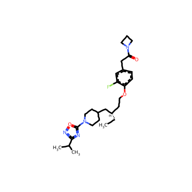 CC[C@@H](CCOc1ccc(CC(=O)N2CCC2)cc1F)CC1CCN(c2nc(C(C)C)no2)CC1